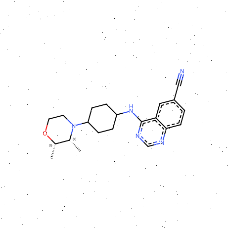 C[C@@H]1OCCN(C2CCC(Nc3ncnc4ccc(C#N)cc34)CC2)[C@@H]1C